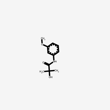 COc1cccc(NC(=O)C(C)(C)O)c1